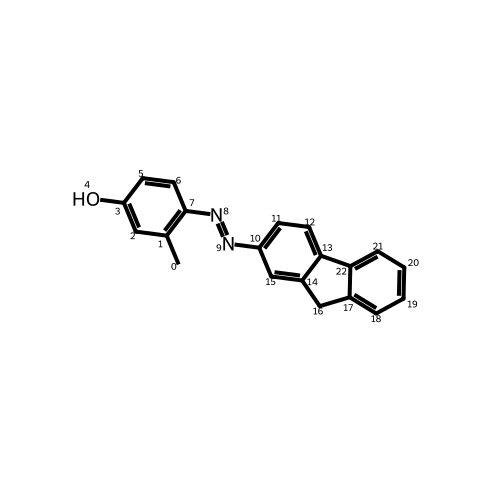 Cc1cc(O)ccc1N=Nc1ccc2c(c1)Cc1ccccc1-2